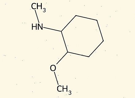 CNC1CCCCC1OC